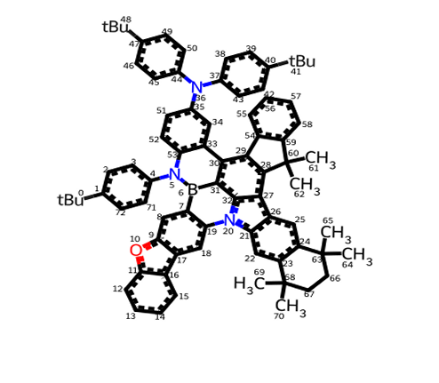 CC(C)(C)c1ccc(N2B3c4cc5oc6ccccc6c5cc4-n4c5cc6c(cc5c5c7c(c(c3c54)-c3cc(N(c4ccc(C(C)(C)C)cc4)c4ccc(C(C)(C)C)cc4)ccc32)-c2ccccc2C7(C)C)C(C)(C)CCC6(C)C)cc1